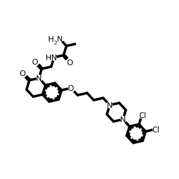 CC(N)C(=O)NCC(=O)N1C(=O)CCc2ccc(OCCCCN3CCN(c4cccc(Cl)c4Cl)CC3)cc21